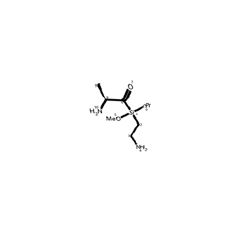 CCC[Si](CCN)(OC)C(=O)[C@H](C)N